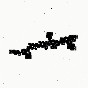 COc1cc(N=Nc2cc(C)c(N=Nc3ccc(SOOO)cc3C(=O)O)cc2C)c(C)cc1N=Nc1c(SOOO)cc2cc(-n3nc4ccc5c(S(=O)(=O)O)cc(S(=O)(=O)O)cc5c4n3)ccc2c1O